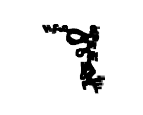 CCOc1ccc(NC(=O)Nc2cc(C(F)(F)F)on2)c([N+](=O)[O-])c1